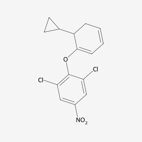 O=[N+]([O-])c1cc(Cl)c(OC2=CC=CCC2C2CC2)c(Cl)c1